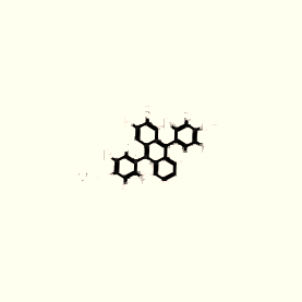 COc1c(F)c(F)c(-c2c3ccccc3c(-c3c(F)c(F)c(C(F)(F)F)c(F)c3F)c3cc(F)c(F)cc23)c(F)c1F